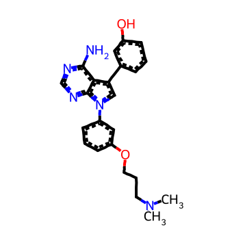 CN(C)CCCOc1cccc(-n2cc(-c3cccc(O)c3)c3c(N)ncnc32)c1